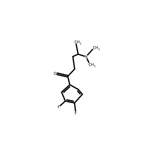 CC(CCC(=O)c1ccc(F)c(F)c1)N(C)C